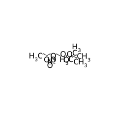 CC[C@@H](COCCOC(=O)OC(C)(C)C(C)C)O[N+](=O)[O-]